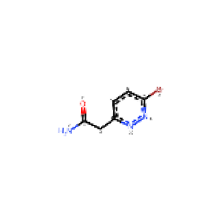 NC(=O)Cc1ccc(Br)nn1